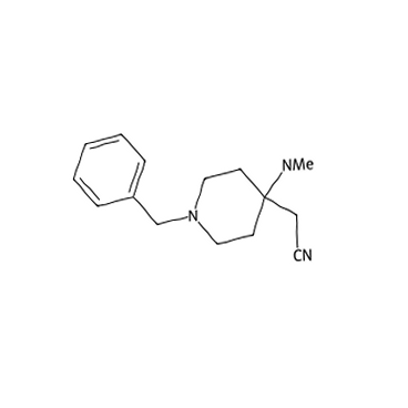 CNC1(CC#N)CCN(Cc2ccccc2)CC1